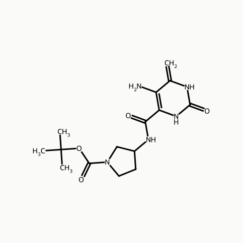 C=C1NC(=O)NC(C(=O)NC2CCN(C(=O)OC(C)(C)C)C2)=C1N